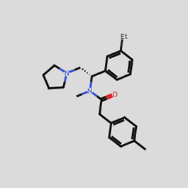 CCc1cccc([C@@H](CN2CCCC2)N(C)C(=O)Cc2ccc(C)cc2)c1